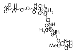 COc1cc2c(cc1OCCCC(=O)Nc1cn(C)c(C(=O)Nc3ccc(-c4cc(C(=O)O[C@H](C)CNC(=O)CCOCCOCCNC(=O)CCN5C(=O)C=CC5=O)n(C)c4)cc3)n1)N=C[C@@H]1CCCN1C2=O